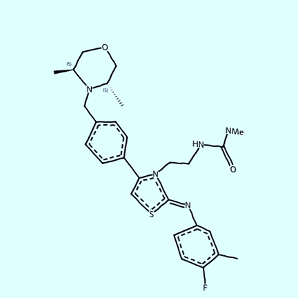 CNC(=O)NCCn1c(-c2ccc(CN3[C@@H](C)COC[C@@H]3C)cc2)csc1=Nc1ccc(F)c(C)c1